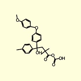 COc1ccc(Oc2ccc(C(O)(CC(C)(C)C(=O)OC(=O)O)c3ccc(C)cc3)cc2)cc1